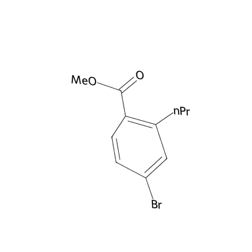 CCCc1cc(Br)ccc1C(=O)OC